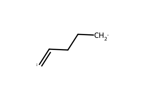 [C]=CCC[CH2]